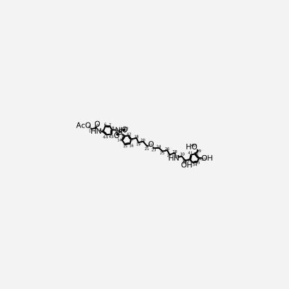 CC(=O)OCC(=O)Nc1ccc(NS(=O)(=O)c2cccc(CCCCOCCCCCCNC[C@@H](O)c3ccc(O)c(CO)c3)c2)cc1